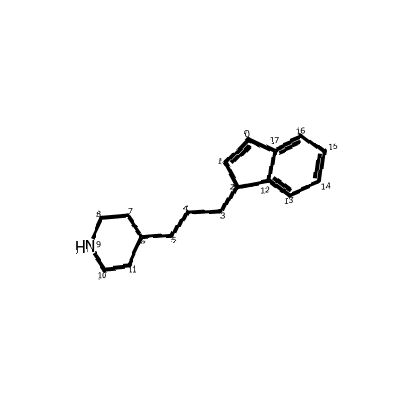 C1=CC(CCCC2CCNCC2)c2ccccc21